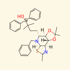 CC1=N[C@@H]2[C@H]3OC(C)(C)O[C@@H]3[C@@H](CCC(C)(C)[Si](O)(c3ccccc3)c3ccccc3)N(Cc3ccccc3)[C@@H]2S1